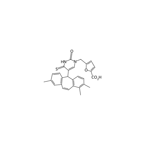 Cc1ccc2c(c1)C=Cc1c(ccc(C)c1C)C2c1cn(Cc2ccc(C(=O)O)o2)c(=O)[nH]c1=S